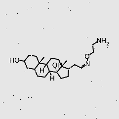 C[C@]12CCC(O)CC1CC[C@@H]1[C@H]2CC[C@]2(C)C(C/C=N\OCCN)CC[C@@]12O